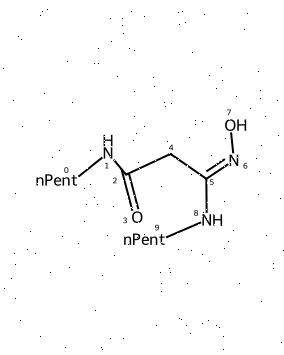 CCCCCNC(=O)C/C(=N\O)NCCCCC